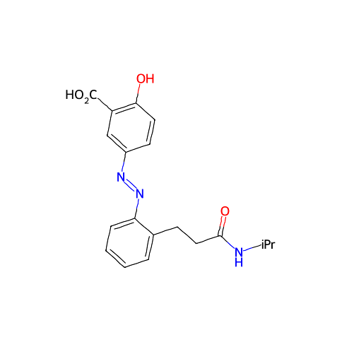 CC(C)NC(=O)CCc1ccccc1/N=N/c1ccc(O)c(C(=O)O)c1